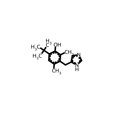 Cc1cc(C(C)(C)C)c(O)c(C)c1Cc1cnc[nH]1